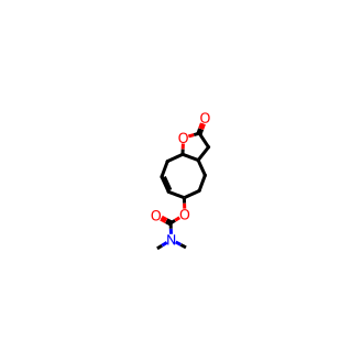 CN(C)C(=O)OC1C=CCC2OC(=O)CC2CC1